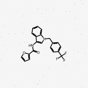 O=C(Nc1cn(Cc2ccc(C(F)(F)F)cc2)c2ccccc12)c1ccco1